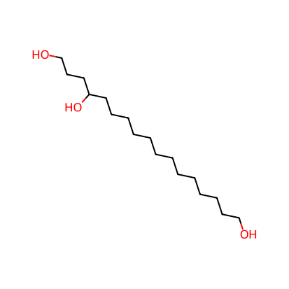 OCCCCCCCCCCCCCC(O)CCCO